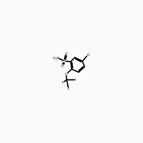 NS(=O)(=O)c1cc(Cl)ccc1OC(F)(F)F